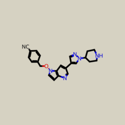 N#Cc1ccc(COn2ccc3ncc(-c4cnn(C5CCNCC5)c4)cc32)cc1